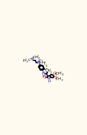 CC/C(Nc1ccc(N(C)CCCN(C)C)cc1)=C1/C(=O)Nc2cc(OC)c(OC)cc21